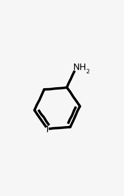 NC1C=CI=CC1